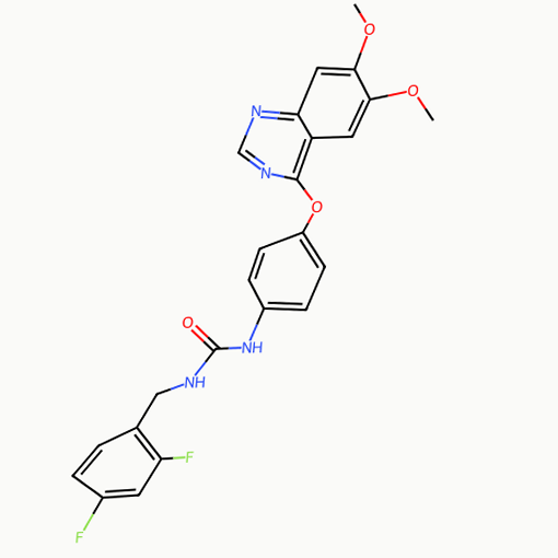 COc1cc2ncnc(Oc3ccc(NC(=O)NCc4ccc(F)cc4F)cc3)c2cc1OC